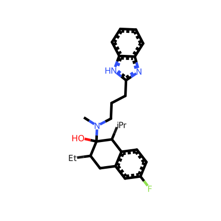 CCC1Cc2cc(F)ccc2C(C(C)C)C1(O)N(C)CCCc1nc2ccccc2[nH]1